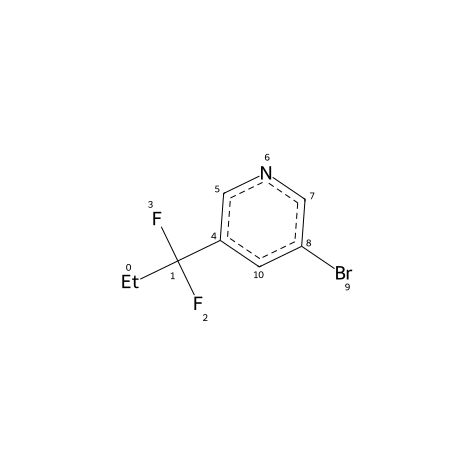 CCC(F)(F)c1cncc(Br)c1